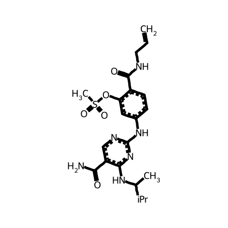 C=CCNC(=O)c1ccc(Nc2ncc(C(N)=O)c(NC(C)C(C)C)n2)cc1OS(C)(=O)=O